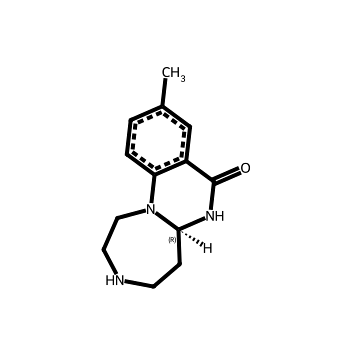 Cc1ccc2c(c1)C(=O)N[C@H]1CCNCCN21